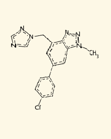 Cn1nnc2c(Cn3cncn3)cc(-c3ccc(Cl)cc3)cc21